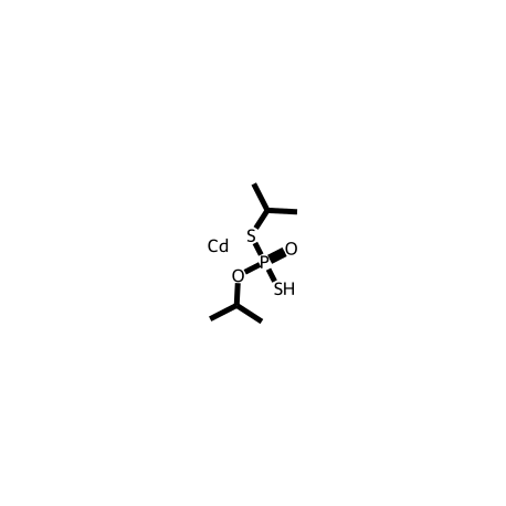 CC(C)OP(=O)(S)SC(C)C.[Cd]